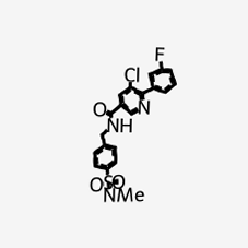 CNS(=O)(=O)c1ccc(CNC(=O)c2cnc(-c3cccc(F)c3)c(Cl)c2)cc1